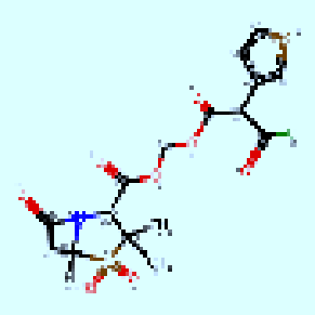 CC1(C)[C@H](C(=O)OCOC(=O)C(C(=O)Cl)c2ccsc2)N2C(=O)C[C@H]2S1(=O)=O